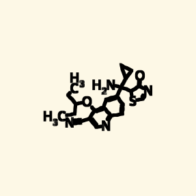 CCC(CC)Oc1c(C#N)cnc2ccc(C(N)(C3CC3)C3SC=NC3=O)cc12